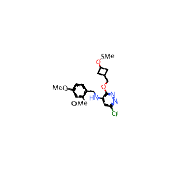 COc1ccc(CNc2cc(Cl)nnc2OCC2CC(OSC)C2)c(OC)c1